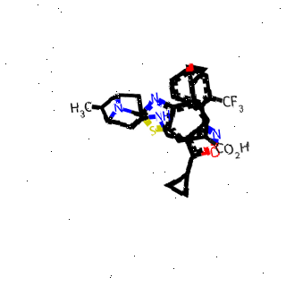 CC1C2CC(NCc3c(-c4ccccc4C(F)(F)F)noc3C3CC3)CC1N2c1nc2c(C3CC3)cc(C(=O)O)cc2s1